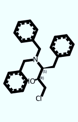 O[C@@H](CCl)[C@H](Cc1ccccc1)N(Cc1ccccc1)Cc1ccccc1